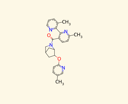 Cc1ccc(OC2CC3CC2N(C(=O)c2ccc(C)nc2-c2ncccc2C)C3)nc1